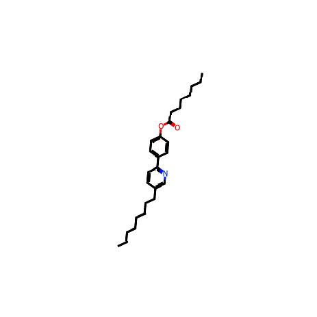 CCCCCCCCc1ccc(-c2ccc(OC(=O)CCCCCCC)cc2)nc1